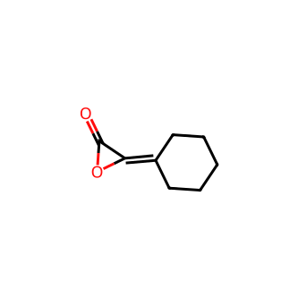 O=C1OC1=C1CCCCC1